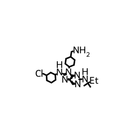 CCC(C)(C)Nc1ncc2nc(NC3CCCC(Cl)C3)n(C3CCC(CN)CC3)c2n1